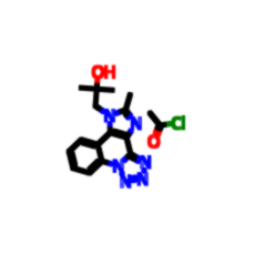 CC(=O)Cl.Cc1nc2c(c3ccccc3n3nnnc23)n1CC(C)(C)O